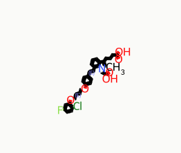 Cc1c(CCCC(=O)O)c2cccc(/C=C/c3ccc(OC/C=C/COc4cc(F)ccc4Cl)cc3)c2n1CC(=O)O